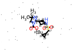 CC1(C)CN(C(=O)OC(C)(C)C)C(C23CC(NS(=O)(=O)CC4CC4)(C2)C3)=N1